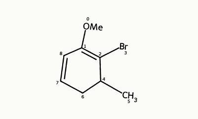 COC1=C(Br)C(C)CC=C1